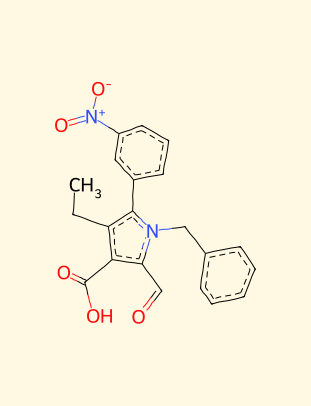 CCc1c(C(=O)O)c(C=O)n(Cc2ccccc2)c1-c1cccc([N+](=O)[O-])c1